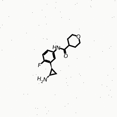 N[C@@H]1C[C@@H]1c1cc(NC(=O)C2CCOCC2)ccc1F